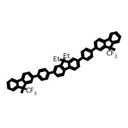 CCC1(CC)c2cc(-c3ccc(-c4ccc5c(c4)C(C)(C(F)(F)F)c4ccccc4-5)cc3)ccc2-c2ccc(-c3ccc(-c4ccc5c(c4)C(C)(C(F)(F)F)c4ccccc4-5)cc3)cc21